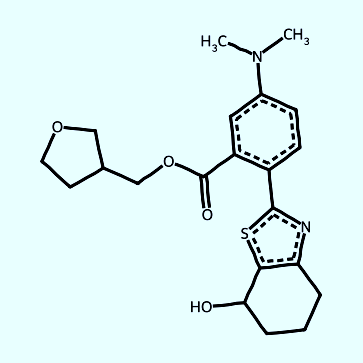 CN(C)c1ccc(-c2nc3c(s2)C(O)CCC3)c(C(=O)OCC2CCOC2)c1